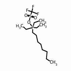 CCCCCCCCP(CC)(CC)(CC)OS(=O)(=O)C(F)(F)F